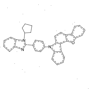 c1ccc2c(c1)nc(-c1ccc(-n3c4ccccc4c4c5oc6ccccc6c5ccc43)cc1)n2C1CCCC1